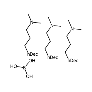 CCCCCCCCCCCCCN(C)C.CCCCCCCCCCCCCN(C)C.CCCCCCCCCCCCCN(C)C.OB(O)O